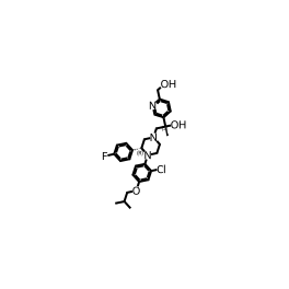 CC(C)COc1ccc(N2CCN(C[C@@](C)(O)c3ccc(CO)nc3)C[C@H]2c2ccc(F)cc2)c(Cl)c1